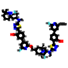 COc1cc(-c2ccc(-c3nnc(N(C)[C@H]4C[C@]5(C)CC(COc6cc(-c7ccc(-c8nnc(N(C)[C@@H](CF)C[C@@]9(C)CCCC(C)(C)N9)s8)c(O)c7)cc(F)n6)C[C@@](C)(N5)[C@H]4F)s3)c(O)c2)cc(F)n1